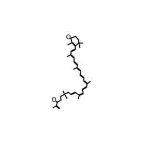 C=C(C)C(=O)CCC(C)(C)C/C=C/C(C)=CC=C/C(C)=C/C=C/C=C(\C)C=CC=C(C)/C=C/C1=C(C)C(=O)CCC1(C)C